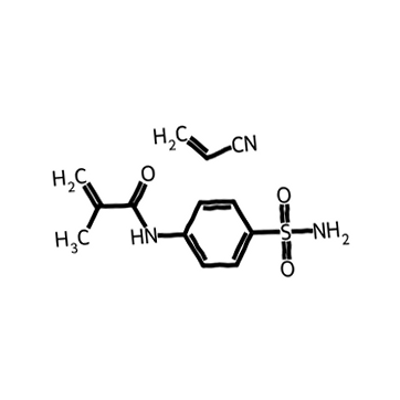 C=C(C)C(=O)Nc1ccc(S(N)(=O)=O)cc1.C=CC#N